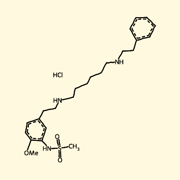 COc1ccc(CCNCCCCCCNCCc2ccccc2)cc1NS(C)(=O)=O.Cl